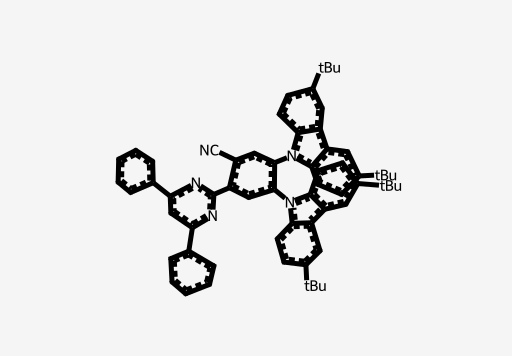 CC(C)(C)c1ccc2c(c1)c1cc(C(C)(C)C)ccc1n2-c1cc(C#N)c(-c2nc(-c3ccccc3)cc(-c3ccccc3)n2)cc1-n1c2ccc(C(C)(C)C)cc2c2cc(C(C)(C)C)ccc21